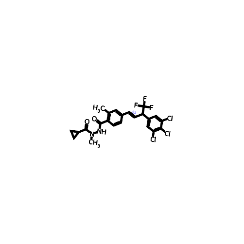 Cc1cc(/C=C/C(c2cc(Cl)c(Cl)c(Cl)c2)C(F)(F)F)ccc1C(=O)NN(C)C(=O)C1CC1